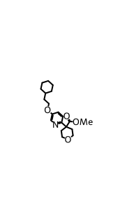 COC(=O)C1(c2ccc(OCCC3CCCCC3)cn2)CCOCC1